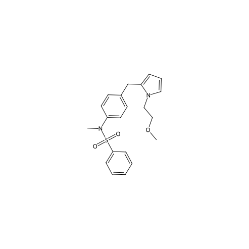 COCCn1cccc1Cc1ccc(N(C)S(=O)(=O)c2ccccc2)cc1